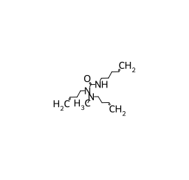 C=CCCCNC(=O)N(CCC=C)N(C)CCC=C